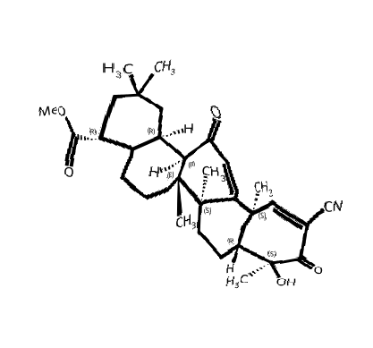 COC(=O)[C@@H]1CC(C)(C)C[C@@H]2C1CC[C@]1(C)[C@@H]2C(=O)C=C2[C@@]3(C)C=C(C#N)C(=O)[C@@](C)(O)[C@@H]3CC[C@]21C